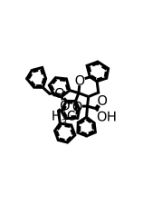 COC(C(=O)O)(c1ccccc1)C1Cc2ccccc2OC1(c1ccccc1OCc1ccccc1)c1ccccc1OCc1ccccc1